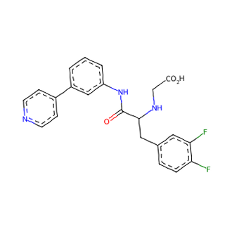 O=C(O)CNC(Cc1ccc(F)c(F)c1)C(=O)Nc1cccc(-c2ccncc2)c1